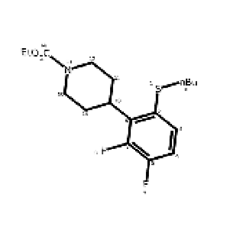 CCCCSc1ccc(F)c(F)c1C1CCN(C(=O)OCC)CC1